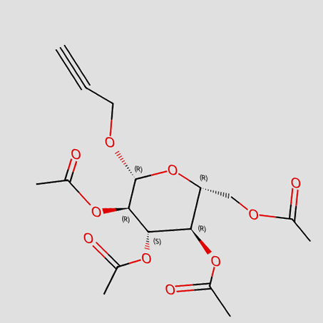 C#CCO[C@@H]1O[C@H](COC(C)=O)[C@@H](OC(C)=O)[C@H](OC(C)=O)[C@H]1OC(C)=O